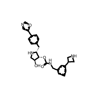 O=C(NCc1cccc(C2CNC2)c1)O[C@@H]1[C@@H](O)CN[C@@H]1Cc1ccc(-c2cnco2)cc1